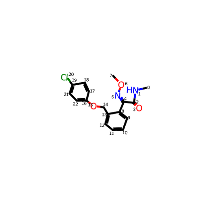 CNC(=O)C(=NOC)c1ccccc1COc1ccc(Cl)cc1